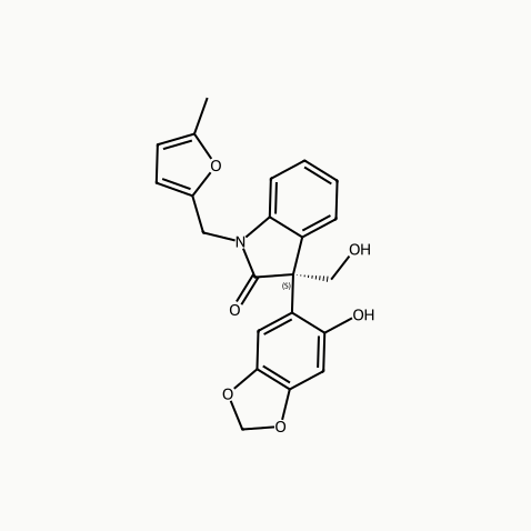 Cc1ccc(CN2C(=O)[C@](CO)(c3cc4c(cc3O)OCO4)c3ccccc32)o1